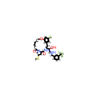 CSCCC1C(=O)NC(C(O)CNCc2cccc(C(F)(F)F)c2)Cc2cc(F)cc(c2)OCCCCCC(=O)N1C